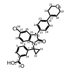 O=C(O)c1cccc(C2(n3c(=O)n(-c4ccc(C5=CCOCC5)cc4)c4cc(Cl)ccc43)CC2)c1